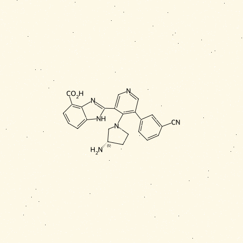 N#Cc1cccc(-c2cncc(-c3nc4c(C(=O)O)cccc4[nH]3)c2N2CC[C@H](N)C2)c1